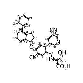 C[C@@H](O)[C@H](NCc1cc(Cl)c(O[C@H]2CCc3c(-c4ccccc4F)cccc32)cc1-c1cncc(C#N)c1)C(=O)O